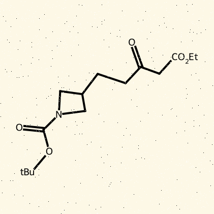 CCOC(=O)CC(=O)CCC1CN(C(=O)OC(C)(C)C)C1